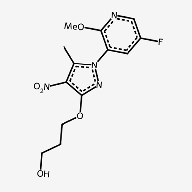 COc1ncc(F)cc1-n1nc(OCCCO)c([N+](=O)[O-])c1C